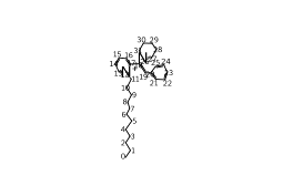 CCCCCCCCCCCC[n+]1ccccc1C(=Cc1ccccc1)N1CCCCC1